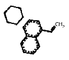 C1CCCCC1.C=Cc1cccc2ccccc12